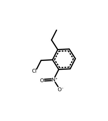 CCc1cccc([N+](=O)[O-])c1CCl